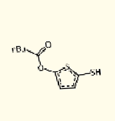 CCCCC(=O)Oc1ccc(S)s1